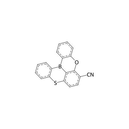 N#Cc1ccc2c3c1Oc1ccccc1B3c1ccccc1S2